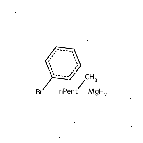 Brc1ccccc1.CCCCCC.[MgH2]